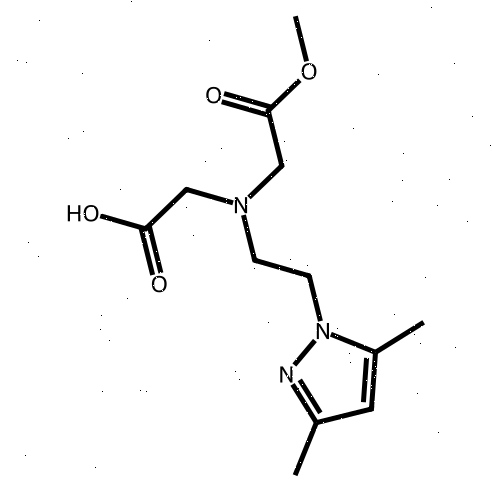 COC(=O)CN(CCn1nc(C)cc1C)CC(=O)O